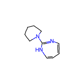 C1=CN=C(N2CCCCC2)NC=C1